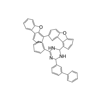 c1ccc(C2=NC(c3cccc(-c4ccccc4)c3)NC(c3cccc4oc5ccc(-c6cccc7c6oc6ccccc67)cc5c34)N2)cc1